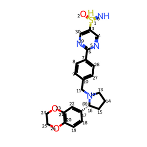 N=[SH](=O)c1cnc(-c2ccc(CN3CCC[C@@H]3c3ccc4c(c3)OCCO4)cc2)nc1